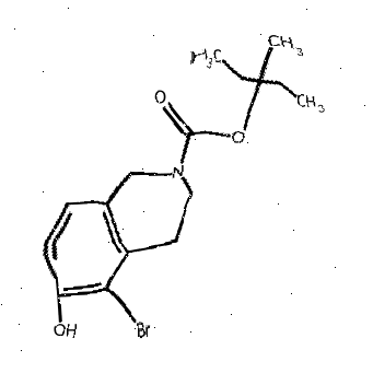 CC(C)(C)OC(=O)N1CCc2c(ccc(O)c2Br)C1